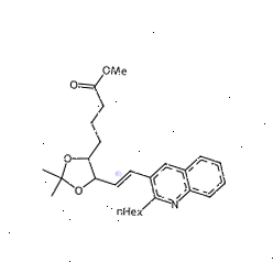 CCCCCCc1nc2ccccc2cc1/C=C/C1OC(C)(C)OC1CCCC(=O)OC